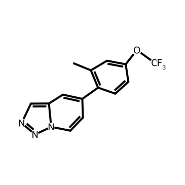 Cc1cc(OC(F)(F)F)ccc1-c1ccn2nncc2c1